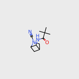 CC(C)(C)C(=O)NC1C2CC1N(C#N)C2